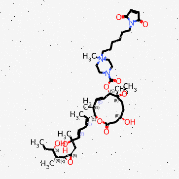 CC[C@H](O)[C@@H](C)[C@H]1O[C@@H]1CC(C)(O)/C=C/C=C(\C)[C@H]1OC(=O)C[C@H](O)CC[C@@](C)(OC)[C@@H](OC(=O)N2CC[N+](C)(CCCCCCN3C(=O)C=CC3=O)CC2)/C=C/[C@@H]1C